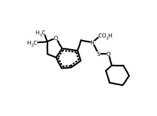 CC1(C)Cc2cccc(CN(SOC3CCCCC3)C(=O)O)c2O1